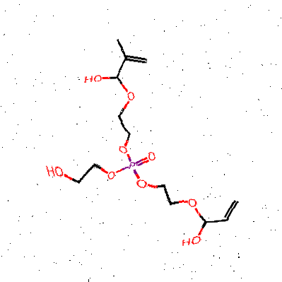 C=CC(O)OCCOP(=O)(OCCO)OCCOC(O)C(=C)C